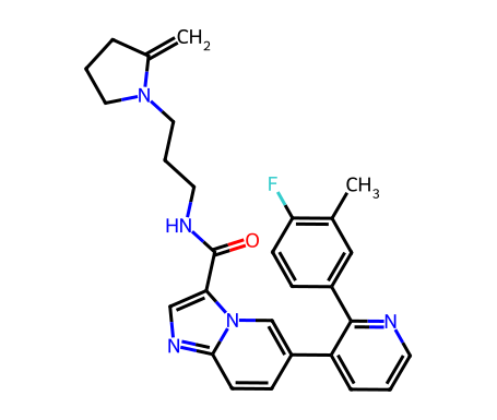 C=C1CCCN1CCCNC(=O)c1cnc2ccc(-c3cccnc3-c3ccc(F)c(C)c3)cn12